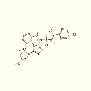 COc1ncnc(OC)c1-n1c(NS(=O)(=O)[C@@H](C)[C@H](OC)c2ncc(Cl)cn2)nnc1[C@@H]1CC[C@@H](OC)C1